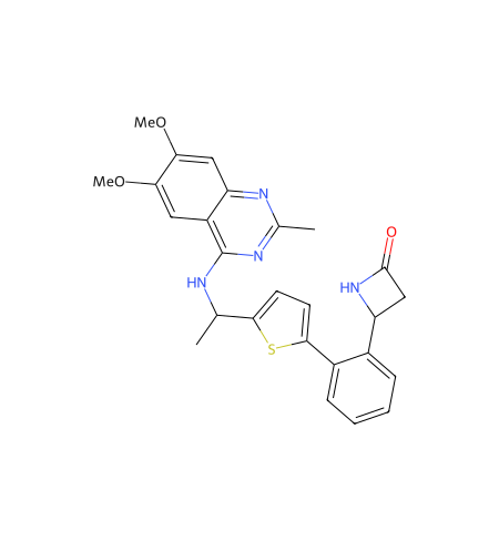 COc1cc2nc(C)nc(NC(C)c3ccc(-c4ccccc4C4CC(=O)N4)s3)c2cc1OC